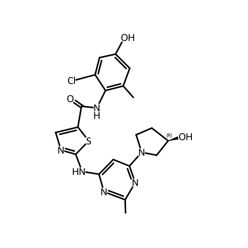 Cc1nc(Nc2ncc(C(=O)Nc3c(C)cc(O)cc3Cl)s2)cc(N2CC[C@@H](O)C2)n1